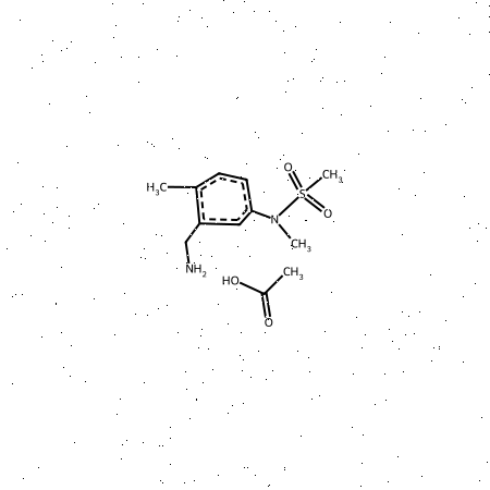 CC(=O)O.Cc1ccc(N(C)S(C)(=O)=O)cc1CN